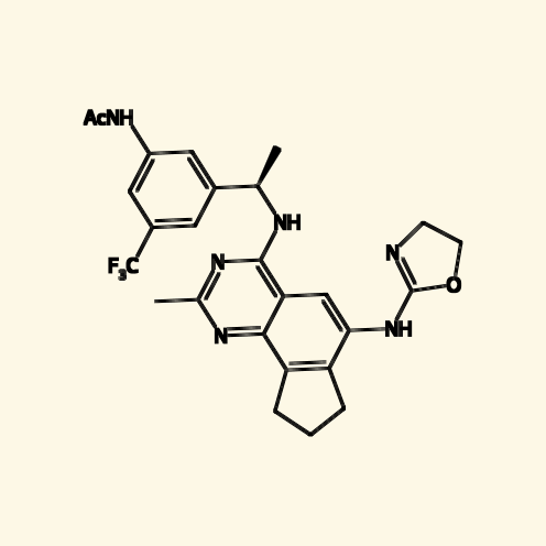 CC(=O)Nc1cc([C@@H](C)Nc2nc(C)nc3c4c(c(NC5=NCCO5)cc23)CCC4)cc(C(F)(F)F)c1